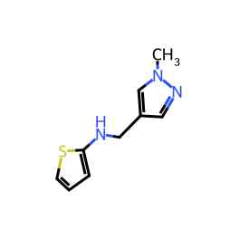 Cn1cc(CNc2cccs2)cn1